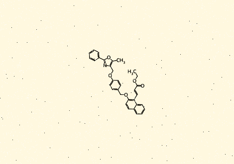 CCOC(=O)C=Cc1c(OCc2ccc(OCc3nc(-c4ccccc4)oc3C)cc2)ccc2ccccc12